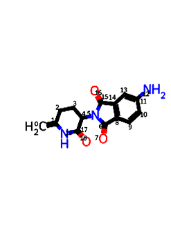 C=C1CCC(N2C(=O)c3ccc(N)cc3C2=O)C(=O)N1